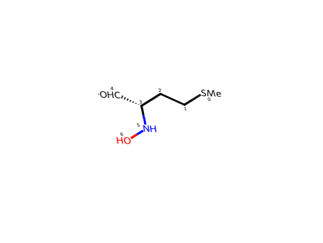 CSCC[C@@H]([C]=O)NO